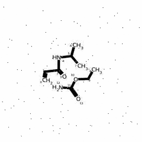 C=CC(=O)NC(C)C.CCOC(N)=O